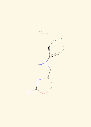 CCN(CC1COC(N)=N1)c1ccc(Cl)c(OC)c1